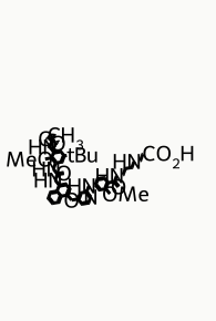 COc1cc(Nc2cc(Oc3ccc(NC(=O)Nc4cc(C(C)(C)C)cc(NS(C)(=O)=O)c4OC)c4ccccc34)ccn2)ccc1C(=O)NCCCNCCC(=O)O